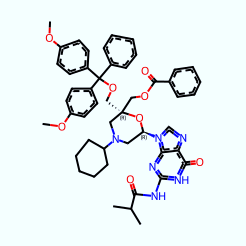 COc1ccc(C(OC[C@@]2(COC(=O)c3ccccc3)CN(C3CCCCC3)C[C@H](n3cnc4c(=O)[nH]c(NC(=O)C(C)C)nc43)O2)(c2ccccc2)c2ccc(OC)cc2)cc1